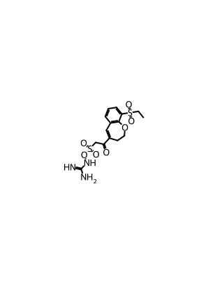 CCS(=O)(=O)c1cccc2c1OCCC(C(=O)CS(=O)(=O)ONC(=N)N)=C2